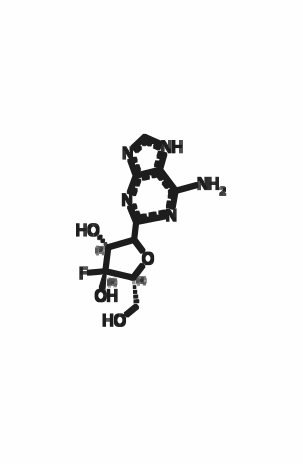 Nc1nc(C2O[C@H](CO)[C@](O)(F)[C@@H]2O)nc2nc[nH]c12